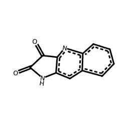 O=C1Nc2cc3ccccc3nc2C1=O